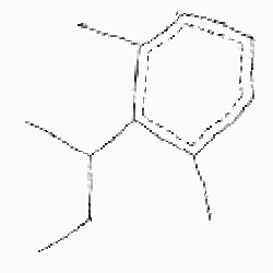 CCC(C)c1c(C)[c]ccc1C